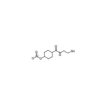 O=C(NCCS)C1CCC(O[N+](=O)[O-])CC1